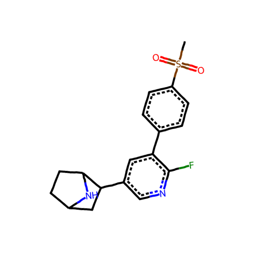 CS(=O)(=O)c1ccc(-c2cc(C3CC4CCC3N4)cnc2F)cc1